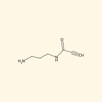 C#CC(=O)NCCCN